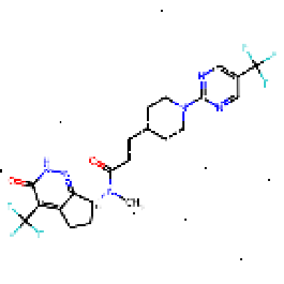 CN(C(=O)CCC1CCN(c2ncc(C(F)(F)F)cn2)CC1)[C@@H]1CCc2c1n[nH]c(=O)c2C(F)(F)F